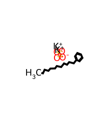 CCCCCCCCCCCCc1ccccc1.O=S(=O)([O-])[O-].[K+].[K+]